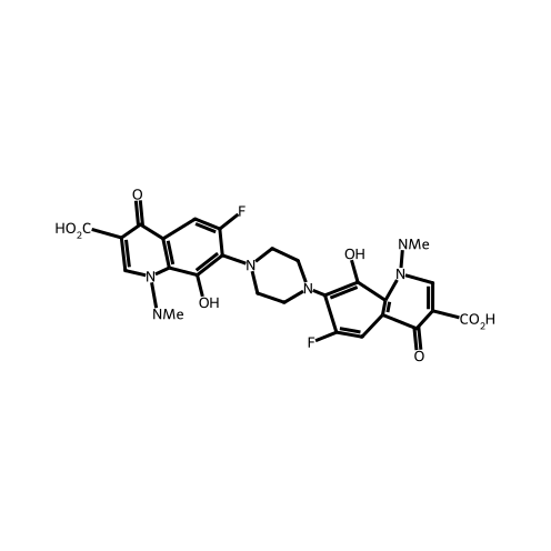 CNn1cc(C(=O)O)c(=O)c2cc(F)c(N3CCN(c4c(F)cc5c(=O)c(C(=O)O)cn(NC)c5c4O)CC3)c(O)c21